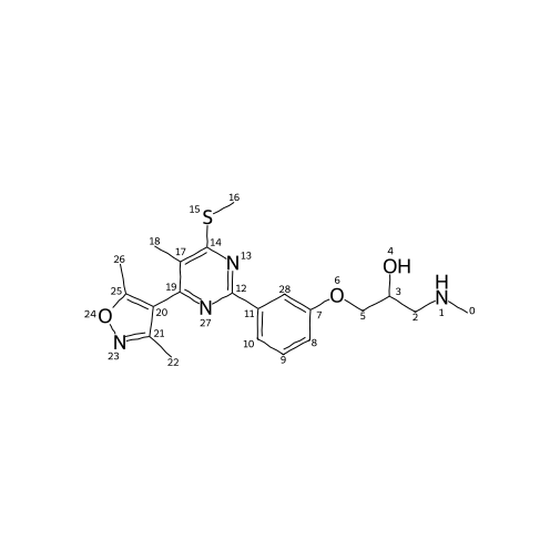 CNCC(O)COc1cccc(-c2nc(SC)c(C)c(-c3c(C)noc3C)n2)c1